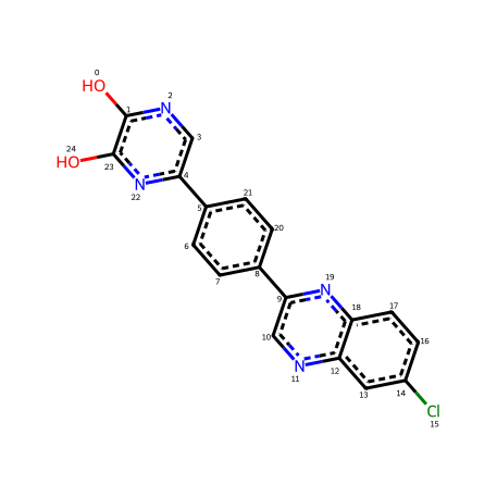 Oc1ncc(-c2ccc(-c3cnc4cc(Cl)ccc4n3)cc2)nc1O